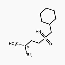 N=S(=O)(CC[C@H](N)C(=O)O)CC1CCCCC1